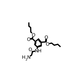 CCCCOC(=O)c1cc(NC(=O)CN)cc(C(=O)OCCCC)c1